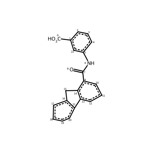 O=C(O)c1cccc(NC(=O)c2cccc3c2Cc2ccccc2-3)c1